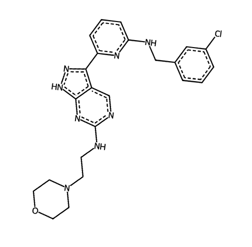 Clc1cccc(CNc2cccc(-c3n[nH]c4nc(NCCN5CCOCC5)ncc34)n2)c1